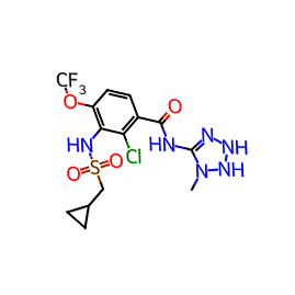 CN1NNN=C1NC(=O)c1ccc(OC(F)(F)F)c(NS(=O)(=O)CC2CC2)c1Cl